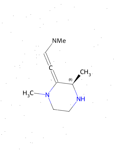 CNC=C=C1[C@@H](C)NCCN1C